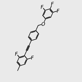 Cc1cc(F)c(C#Cc2ccc(COc3cc(F)c(F)c(F)c3)cc2)c(F)c1